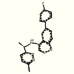 Cc1ccc([C@@H](C)Nc2cnnc3ccc(-c4ccc(F)cc4)cc23)nn1